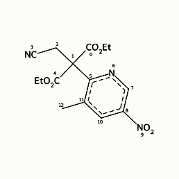 CCOC(=O)C(CC#N)(C(=O)OCC)c1ncc([N+](=O)[O-])cc1C